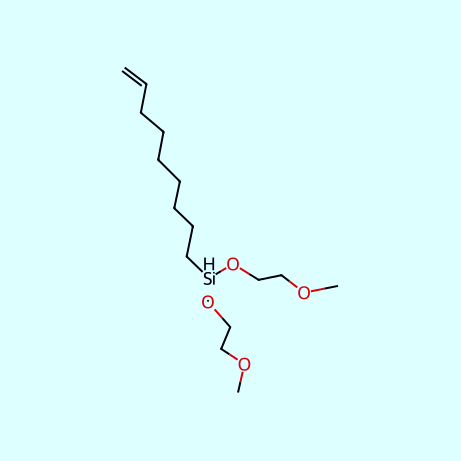 C=CCCCCCCC[SiH](OCCOC)OCCOC